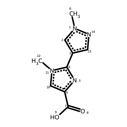 Cn1cc(-c2nc(C(=O)O)cn2C)cn1